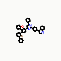 c1ccc(-c2cc(-c3ccc(-c4cccc5c4sc4ccccc45)c4c3oc3ccccc34)nc(-c3ccc(-c4ccnc5ccccc45)cc3)n2)cc1